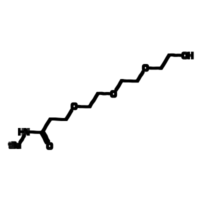 CC(C)(C)NC(=O)CCOCCOCCOCCO